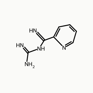 N=C(N)NC(=N)c1ccccn1